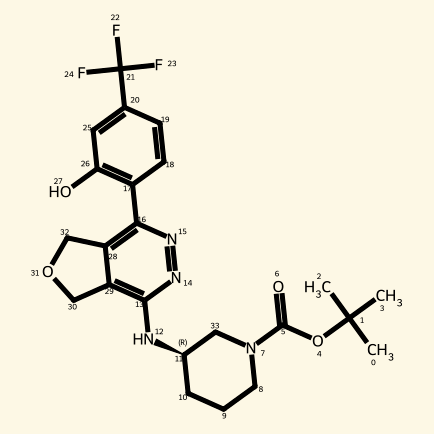 CC(C)(C)OC(=O)N1CCC[C@@H](Nc2nnc(-c3ccc(C(F)(F)F)cc3O)c3c2COC3)C1